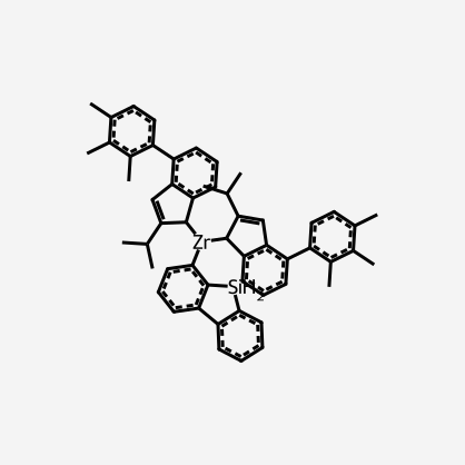 Cc1ccc(-c2cccc3c2C=C(C(C)C)[CH]3[Zr]([c]2cccc3c2[SiH2]c2ccccc2-3)[CH]2C(C(C)C)=Cc3c(-c4ccc(C)c(C)c4C)cccc32)c(C)c1C